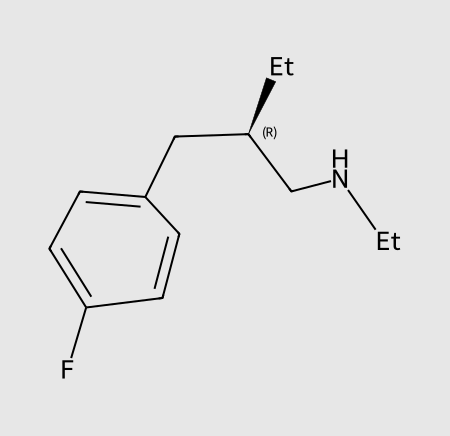 CCNC[C@H](CC)Cc1ccc(F)cc1